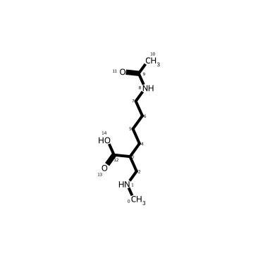 CNCC(CCCCNC(C)=O)C(=O)O